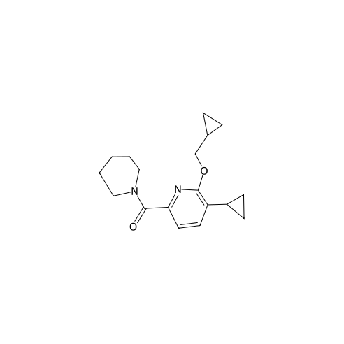 O=C(c1ccc(C2CC2)c(OCC2CC2)n1)N1CCCCC1